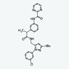 CC(C(=O)NCc1cc(C(C)(C)C)nn1-c1cccc(Cl)c1)c1cccc(NC(=O)c2ncccn2)c1